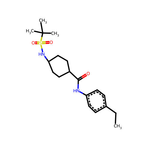 CCc1ccc(NC(=O)C2CCC(NS(=O)(=O)C(C)(C)C)CC2)cc1